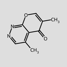 Cc1coc2nncc(C)c2c1=O